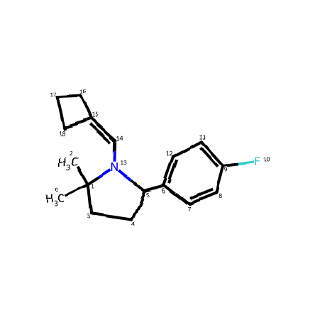 CC1(C)CCC(c2ccc(F)cc2)N1C=C1CCC1